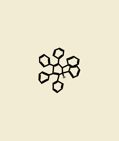 BrC1(c2ccccc2)C(c2ccccc2)=C(c2ccccc2)C(c2ccccc2)=C(c2ccccc2)C1c1ccccc1